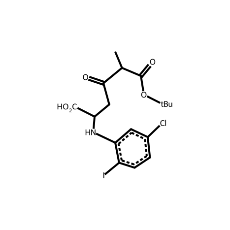 CC(C(=O)CC(Nc1cc(Cl)ccc1I)C(=O)O)C(=O)OC(C)(C)C